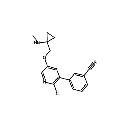 CNC1(COc2cnc(Cl)c(-c3cccc(C#N)c3)c2)CC1